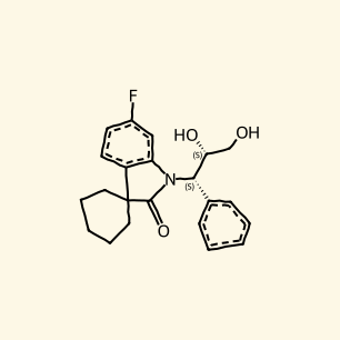 O=C1N([C@@H](c2ccccc2)[C@H](O)CO)c2cc(F)ccc2C12CCCCC2